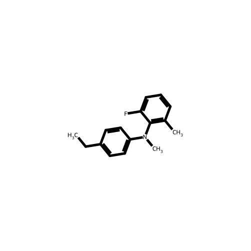 CCc1ccc(N(C)c2c(C)cccc2F)cc1